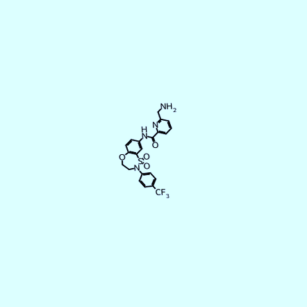 NCc1cccc(C(=O)Nc2ccc3c(c2)S(=O)(=O)N(c2ccc(C(F)(F)F)cc2)CCO3)n1